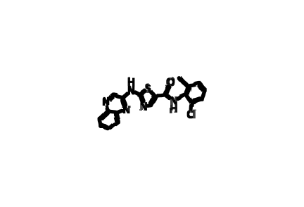 Cc1cccc(Cl)c1NC(=O)c1cnc(Nc2cnc3ccccc3n2)s1